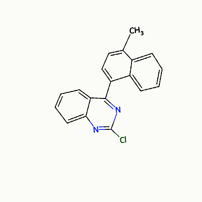 Cc1ccc(-c2nc(Cl)nc3ccccc23)c2ccccc12